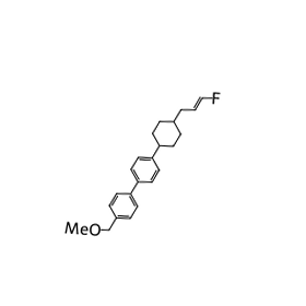 COCc1ccc(-c2ccc(C3CCC(CC=CF)CC3)cc2)cc1